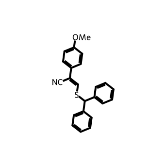 COc1ccc(C(C#N)=CSC(c2ccccc2)c2ccccc2)cc1